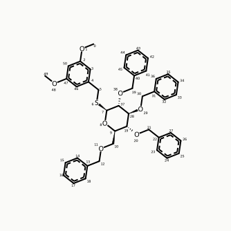 COc1cc(CS[C@@H]2O[C@H](COCc3ccccc3)[C@@H](OCc3ccccc3)[C@H](OCc3ccccc3)[C@H]2OCc2ccccc2)cc(OC)c1